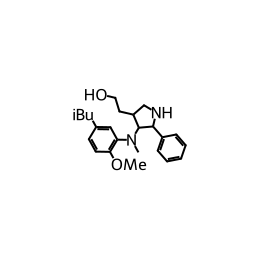 CCC(C)c1ccc(OC)c(N(C)C2C(CCO)CNC2c2ccccc2)c1